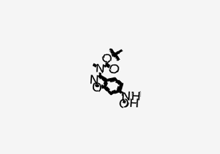 CN(C(=O)OC(C)(C)C)c1noc2cc(NO)ccc12